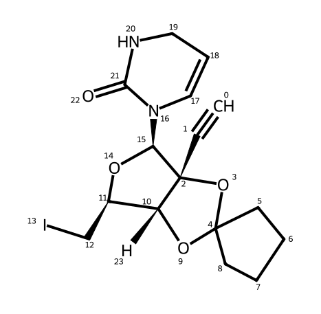 C#C[C@@]12OC3(CCCC3)O[C@@H]1[C@@H](CI)O[C@H]2N1C=CCNC1=O